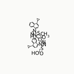 CC(C)(Sc1nncn1-c1ccc(C2CC2)c2ccccc12)C(=O)Oc1nnc(SCC(=O)O)n1-c1ccc(C2CC2)c2ccccc12